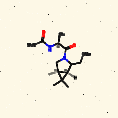 CNC(=O)N[C@H](C(=O)N1C[C@@]2(C)[C@@H](C1COC)C2(C)C)C(C)(C)C